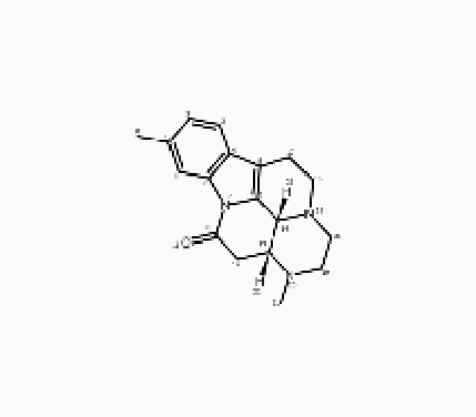 Cc1ccc2c3c4n(c2c1)C(=O)C[C@@H]1[C@H]4N(CC3)CCN1C